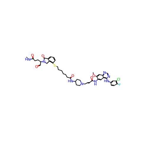 CNC(=O)CCC(C=O)N1Cc2c(SCCCCCCC(=O)NC3CCN(C/C=C/C(=O)Nc4cc5c(Nc6ccc(F)c(Cl)c6)ncnc5cc4OC)CC3)cccc2C1=O